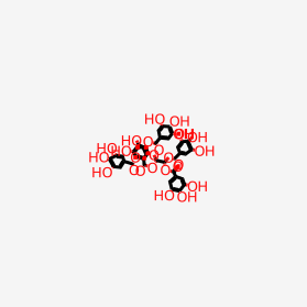 CC(OC(=O)c1cc(O)c(O)c(O)c1)C(COC(=O)c1cc(O)c(O)c(O)c1)OC(OC(=O)c1ccc(O)c(O)c1)C(OC(=O)c1cc(O)c(O)c(O)c1)OC(=O)c1cc(O)c(O)c(O)c1